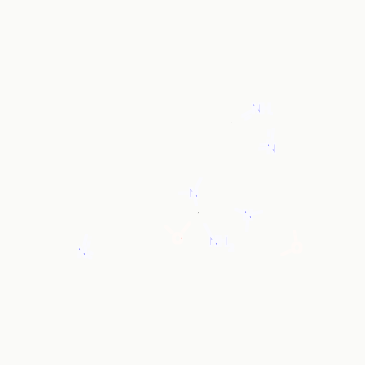 Cc1cc(C2=CN(c3ccc4[nH]cnc4c3)C(N)(CN3CCOCC3)O2)ccn1